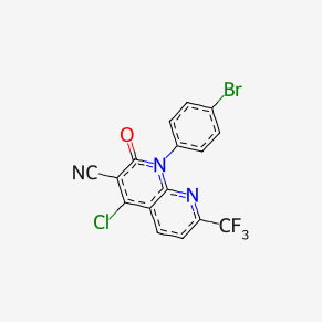 N#Cc1c(Cl)c2ccc(C(F)(F)F)nc2n(-c2ccc(Br)cc2)c1=O